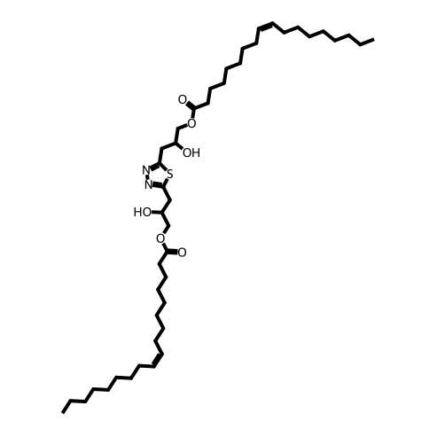 CCCCCCCC/C=C\CCCCCCCC(=O)OCC(O)Cc1nnc(CC(O)COC(=O)CCCCCCC/C=C\CCCCCCCC)s1